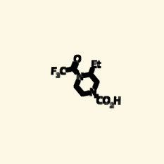 CCC1CN(C(=O)O)CCN1C(=O)C(F)(F)F